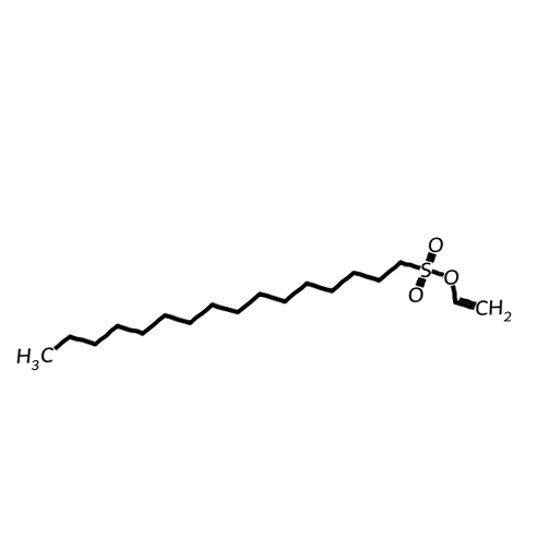 C=COS(=O)(=O)CCCCCCCCCCCCCCCC